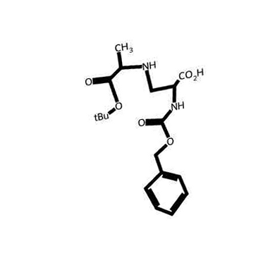 CC(NCC(NC(=O)OCc1ccccc1)C(=O)O)C(=O)OC(C)(C)C